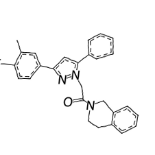 Cc1cc(-c2cc(-c3ccccc3)n(CC(=O)N3CCc4ccccc4C3)n2)ccc1F